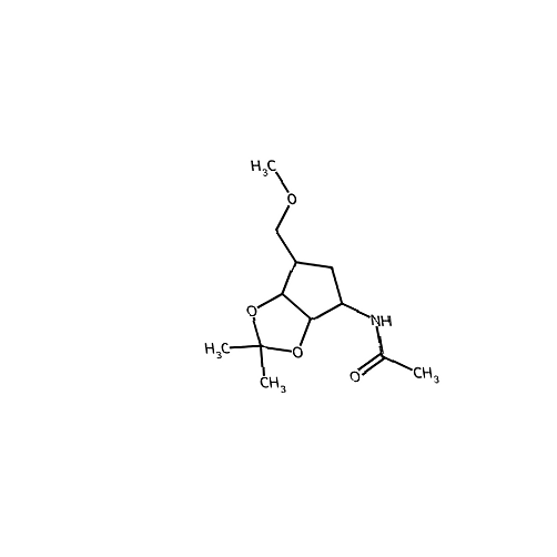 COCC1CC(NC(C)=O)C2OC(C)(C)OC12